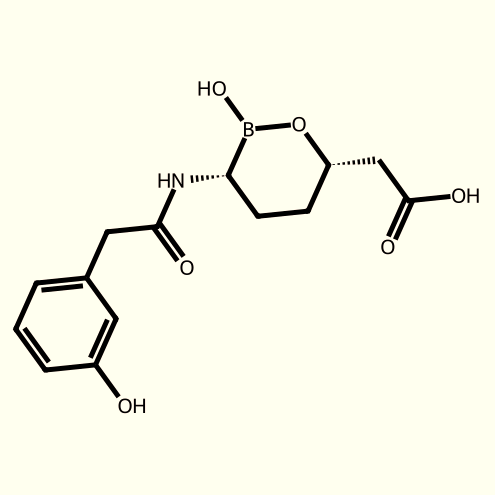 O=C(O)C[C@@H]1CC[C@H](NC(=O)Cc2cccc(O)c2)B(O)O1